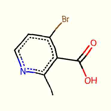 Cc1nccc(Br)c1C(=O)O